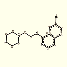 Brc1ccc2ccnc(OCCN3CCCCC3)c2c1